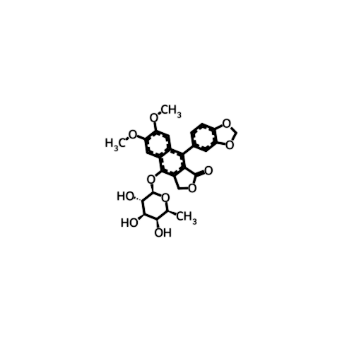 COc1cc2c(O[C@H]3O[C@@H](C)[C@@H](O)[C@@H](O)[C@@H]3O)c3c(c(-c4ccc5c(c4)OCO5)c2cc1OC)C(=O)OC3